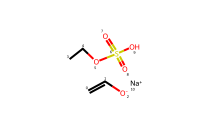 C=C[O-].CCOS(=O)(=O)O.[Na+]